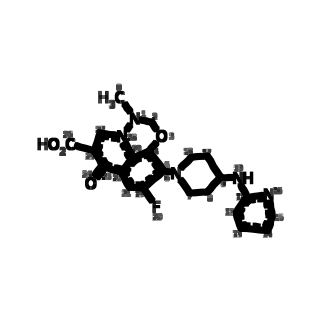 CN1COc2c(N3CCC(Nc4ccccn4)CC3)c(F)cc3c(=O)c(C(=O)O)cn1c23